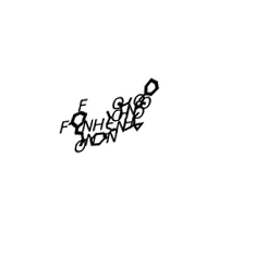 CC(C)OC(=O)C(C)NP(=O)(OCC1(CNc2nc3c(s2)CN(C(=O)c2cc4c(F)cc(F)cc4[nH]2)CC3)CC1)Oc1ccccc1